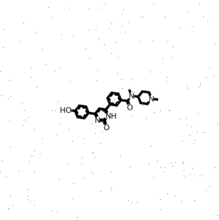 CN1CCC(N(C)C(=O)c2cccc(-c3cc(-c4ccc(O)cc4)nc(=O)[nH]3)c2)CC1